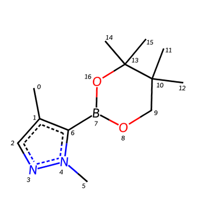 Cc1cnn(C)c1B1OCC(C)(C)C(C)(C)O1